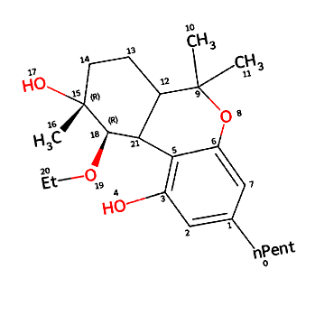 CCCCCc1cc(O)c2c(c1)OC(C)(C)C1CC[C@@](C)(O)[C@H](OCC)C21